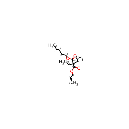 C=CCOC(=O)C(CC)(CC)C(=O)OCCCCC